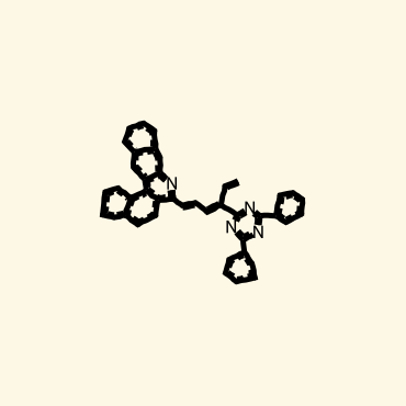 C=C/C(=C\C=C\c1nc2cc3ccccc3cc2c2c1ccc1ccccc12)c1nc(-c2ccccc2)nc(-c2ccccc2)n1